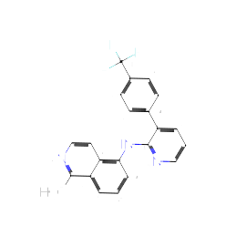 Cc1nccc2c(Nc3ncccc3-c3ccc(C(F)(F)F)cc3)cccc12